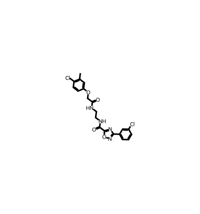 Cc1cc(OCC(=O)NCCNC(=O)c2nc(-c3cccc(Cl)c3)no2)ccc1Cl